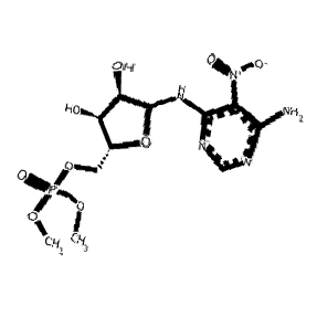 COP(=O)(OC)OC[C@H]1OC(Nc2ncnc(N)c2[N+](=O)[O-])[C@H](O)[C@@H]1O